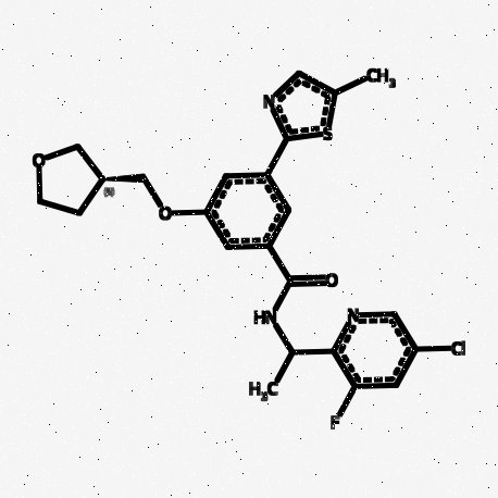 Cc1cnc(-c2cc(OC[C@H]3CCOC3)cc(C(=O)NC(C)c3ncc(Cl)cc3F)c2)s1